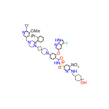 COc1cc(CN2CCN(C3CC4(CCN(c5ccc(C(=O)NS(=O)(=O)c6cnc(NCC7CCC(C)(O)CC7)c([N+](=O)[O-])c6)c(Oc6cnc7[nH]cc(F)c7c6)c5)CC4)C3)[C@H](c3ccccc3C(C)C)C2)cnc1C1CC1